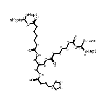 CCCCCCCC(CCCCCCC)OC(=O)CCCCCC(=O)OCC(COC(=O)CCCCCC(=O)OC(CCCCCCC)CCCCCCC)COC(=O)CCCN1CCCC1